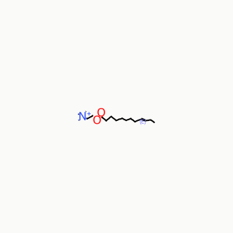 CC/C=C/CCCCCCCC(=O)OCC[N+](C)(C)C